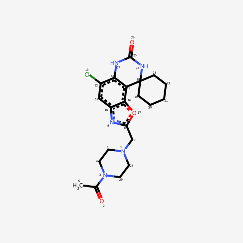 CC(=O)N1CCN(Cc2nc3cc(Cl)c4c(c3o2)C2(CCCCC2)NC(=O)N4)CC1